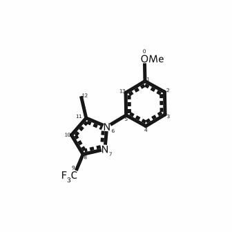 COc1cccc(-n2nc(C(F)(F)F)cc2C)c1